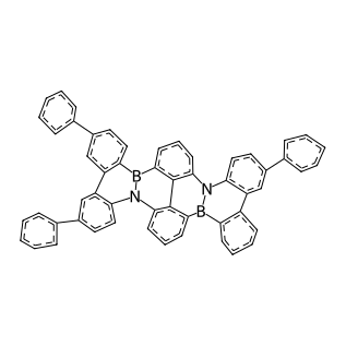 c1ccc(-c2ccc3c(c2)-c2cc(-c4ccccc4)ccc2N2B3c3cccc4c3-c3c(cccc32)B2c3ccccc3-c3cc(-c5ccccc5)ccc3N24)cc1